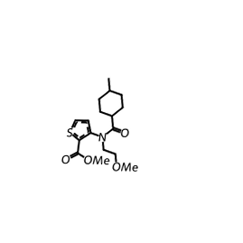 COCCN(C(=O)C1CCC(C)CC1)c1ccsc1C(=O)OC